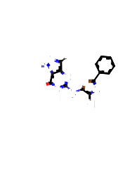 CCCc1nn(C)c2c(=O)[nH]c(N(C)c3sc(-c4ccccc4)nc3C)nc12